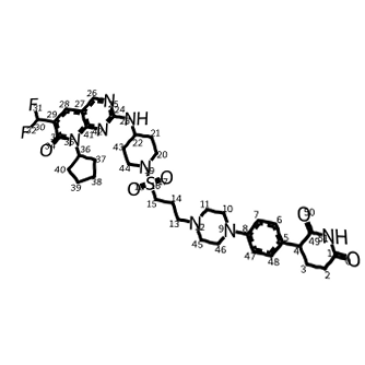 O=C1CCC(c2ccc(N3CCN(CCCS(=O)(=O)N4CCC(Nc5ncc6cc(C(F)F)c(=O)n(C7CCCC7)c6n5)CC4)CC3)cc2)C(=O)N1